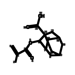 C=C(C)C(=O)OC1C2CC3CC(C2)CC1(C(=O)O)C3